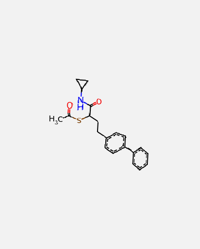 CC(=O)SC(CCc1ccc(-c2ccccc2)cc1)C(=O)NC1CC1